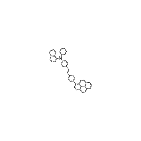 C(=Cc1ccc(N(c2ccccc2)c2cccc3ccccc23)cc1)c1ccc(-c2ccc3ccc4cccc5ccc2c3c45)cc1